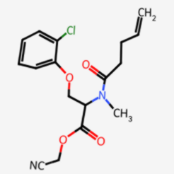 C=CCCC(=O)N(C)C(COc1ccccc1Cl)C(=O)OCC#N